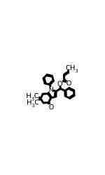 C/C=C/C(=O)OC(c1ccccc1)c1cc2c(n1-c1ccccc1)CC(C)(C)CC2=O